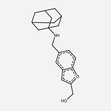 OCc1cc2cc(CNC34CC5CC(CC(C5)C3)C4)ccc2o1